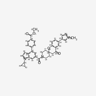 COC(=O)c1ccc(-c2cc(C(=O)N3CCC4(CC3)CC(=O)c3cc(-c5cnn(C)c5)ccc3O4)cc3c2ccn3C2CC2)cc1